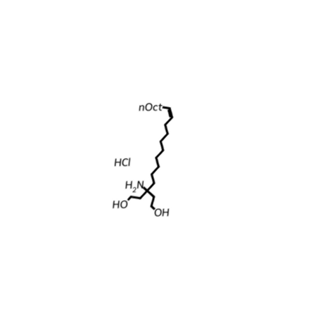 CCCCCCCC/C=C\CCCCCCCCC(N)(CCO)CCO.Cl